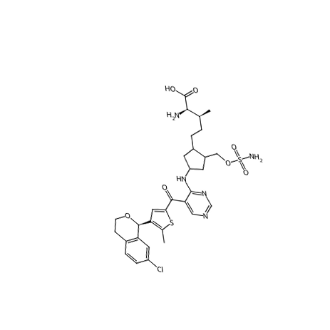 Cc1sc(C(=O)c2cncnc2NC2CC(CC[C@H](C)[C@@H](N)C(=O)O)C(COS(N)(=O)=O)C2)cc1[C@@H]1OCCc2ccc(Cl)cc21